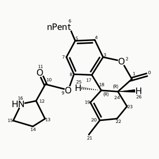 C=C1Oc2cc(CCCCC)cc(OC(=O)C3CCCN3)c2[C@@H]2C=C(C)CC[C@@H]12